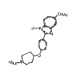 CCCCN1CCC(Oc2ccc(-c3nc4cc(OC)ccc4n3CCC)cc2)CC1